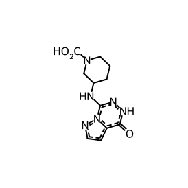 O=C(O)N1CCCC(Nc2n[nH]c(=O)c3ccnn23)C1